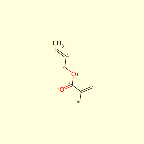 C=CCOC(=O)C(=C)C.[CH3]